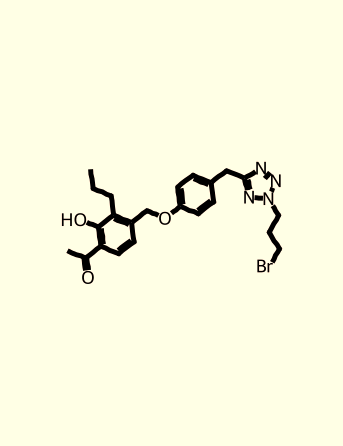 CCCc1c(COc2ccc(Cc3nnn(CCCBr)n3)cc2)ccc(C(C)=O)c1O